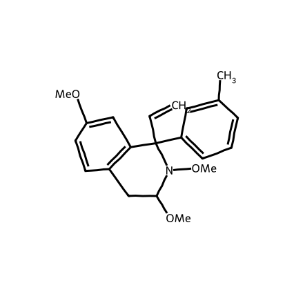 C=CC1(c2cccc(C)c2)c2cc(OC)ccc2CC(OC)N1OC